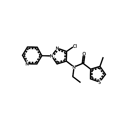 CCN(C(=O)c1cscc1C)c1cn(-c2cccnc2)nc1Cl